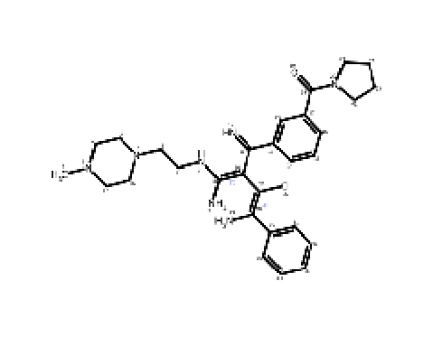 CN1CCN(CCN/C(N)=C(C(=N)c2cccc(C(=O)N3CCCC3)c2)/C(Cl)=C(\N)c2ccccc2)CC1